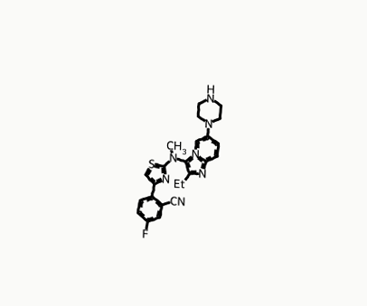 CCc1nc2ccc(N3CCNCC3)cn2c1N(C)c1nc(-c2ccc(F)cc2C#N)cs1